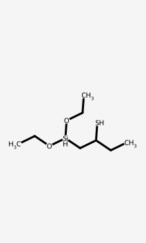 CCO[SiH](CC(S)CC)OCC